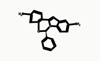 Bc1ccc2c(c1)O[C@@H](c1ccccc1)n1c-2cc2cc(B)ccc21